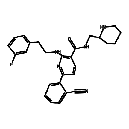 N#Cc1ccccc1-c1ccc(C(=O)NC[C@@H]2CCCCN2)c(NCCc2cccc(F)c2)n1